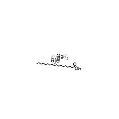 CCCCCCCCCCCCCCCCCC(=O)O.O.O.O.[MgH2]